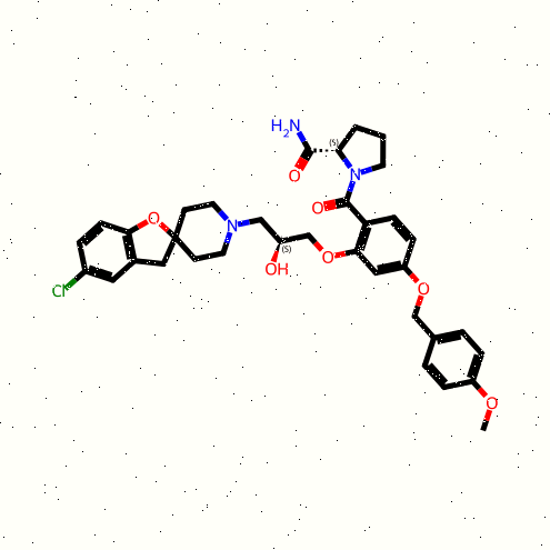 COc1ccc(COc2ccc(C(=O)N3CCC[C@H]3C(N)=O)c(OC[C@@H](O)CN3CCC4(CC3)Cc3cc(Cl)ccc3O4)c2)cc1